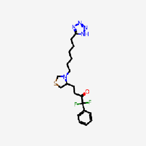 O=C(CCC1CSCN1CCCCCCc1nnn[nH]1)C(F)(F)c1ccccc1